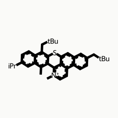 Cc1c2c(c(CC(C)(C)C)c3ccc(C(C)C)cc13)Sc1cc3cc(CC(C)(C)C)ccc3c3cc[n+](C)c-2c13